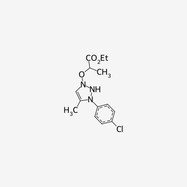 CCOC(=O)C(C)ON1C=C(C)N(c2ccc(Cl)cc2)N1